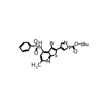 Cc1cc(NS(=O)(=O)c2ccccc2)c2c(Br)c(-c3cnn(C(=O)OC(C)(C)C)c3)sc2n1